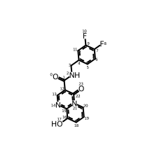 O=C(NCc1ccc(F)c(F)c1)c1cnc2c(O)cccn2c1=O